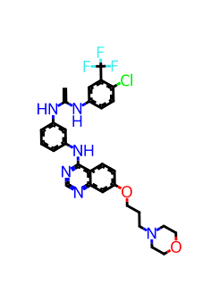 C=C(Nc1cccc(Nc2ncnc3cc(OCCCN4CCOCC4)ccc23)c1)Nc1ccc(Cl)c(C(F)(F)F)c1